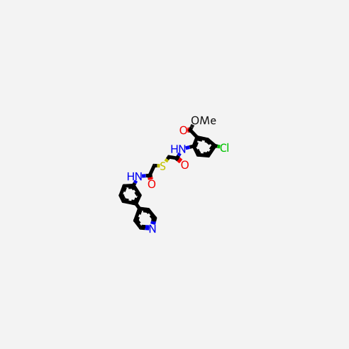 COC(=O)c1cc(Cl)ccc1NC(=O)CSCC(=O)Nc1cccc(-c2ccncc2)c1